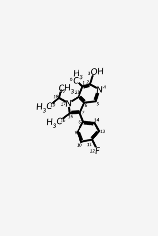 Cc1c(O)ncc2c(-c3ccc(F)cc3)c(C)n(C(C)C)c12